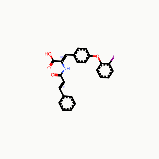 O=C(/C=C/c1ccccc1)N/C(=C\c1ccc(Oc2ccccc2I)cc1)C(=O)O